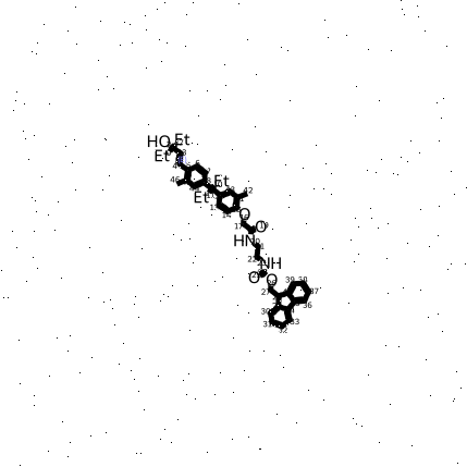 CCC(O)(/C=C/c1ccc(C(CC)(CC)c2ccc(OCC(=O)NCCNC(=O)OCC3c4ccccc4-c4ccccc43)c(C)c2)cc1C)CC